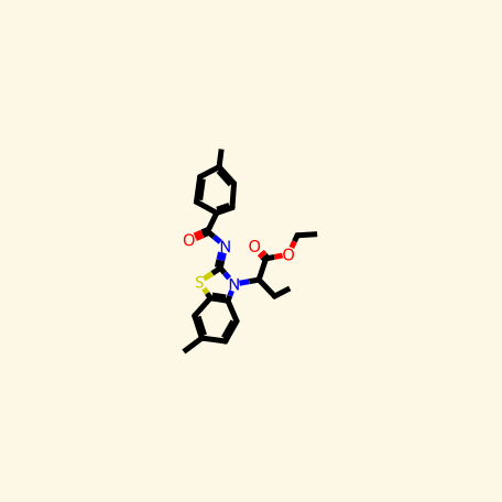 CCOC(=O)C(CC)n1c(=NC(=O)c2ccc(C)cc2)sc2cc(C)ccc21